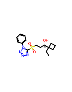 CCC1([C@@H](O)CCS(=O)(=O)c2nnnn2-c2ccccc2)CCC1